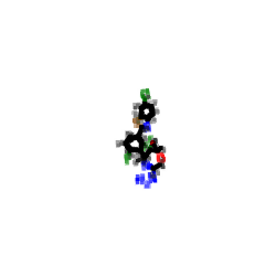 CC1(C)OCC(N)=N[C@](C)(c2cc(-c3nc4ccc(Cl)cc4s3)ccc2F)C1(F)F